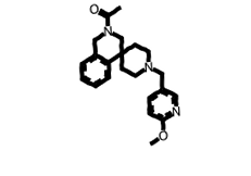 COc1ccc(CN2CCC3(CC2)CN(C(C)=O)Cc2ccccc23)cn1